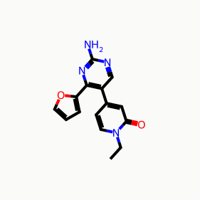 CCn1ccc(-c2cnc(N)nc2-c2ccco2)cc1=O